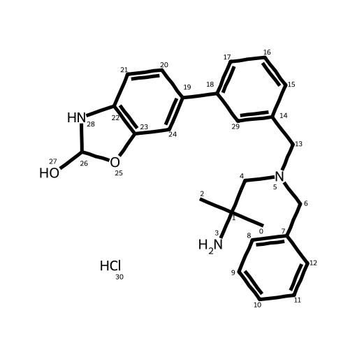 CC(C)(N)CN(Cc1ccccc1)Cc1cccc(-c2ccc3c(c2)OC(O)N3)c1.Cl